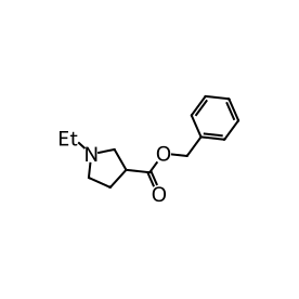 CCN1CCC(C(=O)OCc2ccccc2)C1